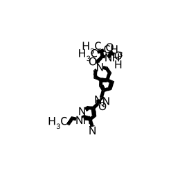 CCCNc1ncc(-c2nc(-c3ccc4c(c3)CCN(C(=O)C(NC(=O)O)C(C)(C)C)CC4)no2)cc1C#N